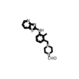 Cc1c(CN2CCN(C=O)CC2)cccc1Nc1nc2ncccc2s1